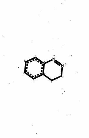 [c]1cccc2c1CCN=N2